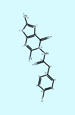 CCc1nc2sc(C(F)(F)F)nc2c(=O)n1NC(=O)Cc1ccc(F)cc1